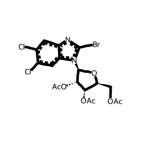 CC(=O)OC[C@@H]1O[C@H](n2c(Br)nc3cc(Cl)c(Cl)cc32)[C@@H](OC(C)=O)[C@H]1OC(C)=O